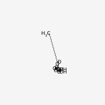 CCCCCCCCCCCCCCCCCCCCCC(=O)OCC(COP(=O)(O)O)OP(=O)(O)O